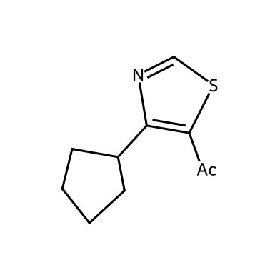 CC(=O)c1scnc1C1CCCC1